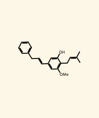 COc1cc(/C=C/Cc2ccccc2)cc(O)c1CC=C(C)C